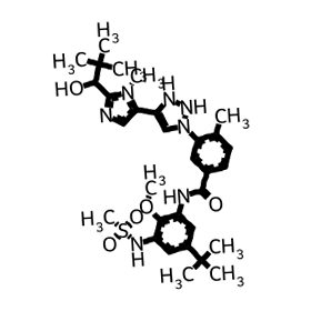 COc1c(NC(=O)c2ccc(C)c(N3C=C(c4cnc(C(O)C(C)(C)C)n4C)NN3)c2)cc(C(C)(C)C)cc1NS(C)(=O)=O